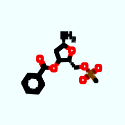 B[C@H]1CC(OC(=O)c2ccccc2)[C@@H](COS(C)(=O)=O)O1